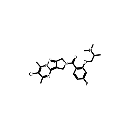 Cc1nc2c3c(nn2c(C)c1Cl)CN(C(=O)c1ccc(F)cc1OCC(C)N(C)C)C3